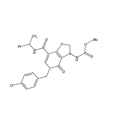 CC(C)C(C)NC(=O)C1=CC(Cc2ccc(Cl)cc2)C(=O)C2=C1SCN2NC(=O)OC(C)(C)C